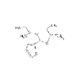 CCC(C)OC(OC(C)CC)c1ccco1